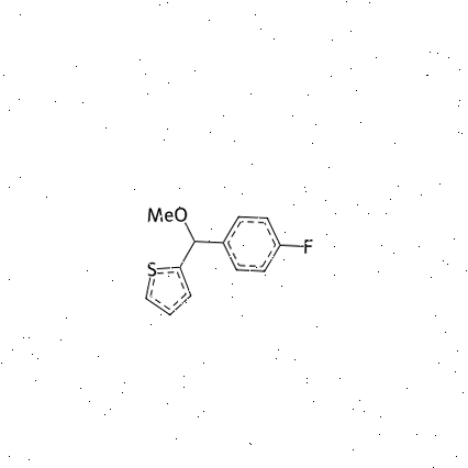 COC(c1ccc(F)cc1)c1cccs1